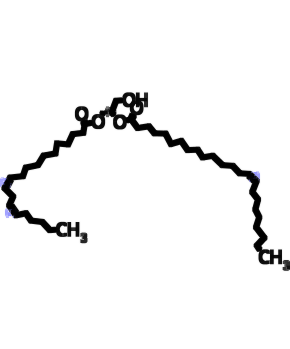 CCCCC/C=C\C/C=C\CCCCCCCCCC(=O)OC[C@H](CO)OC(=O)CCCCCCCCCCCCC/C=C\CCCCCCCC